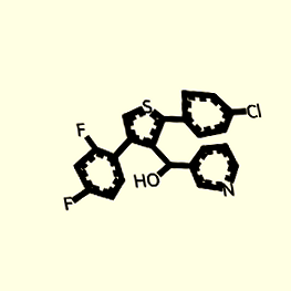 OC(c1cccnc1)c1c(-c2ccc(F)cc2F)csc1-c1ccc(Cl)cc1